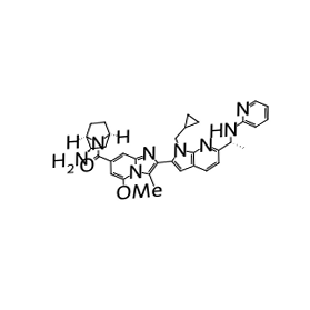 COc1cc(C(=O)N2[C@H]3CC[C@@H]2[C@H](N)C3)cc2nc(-c3cc4ccc([C@@H](C)Nc5ccccn5)nc4n3CC3CC3)c(C)n12